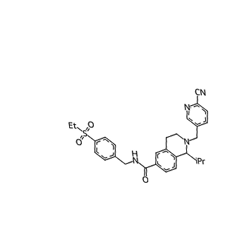 CCS(=O)(=O)c1ccc(CNC(=O)c2ccc3c(c2)CCN(Cc2ccc(C#N)nc2)C3C(C)C)cc1